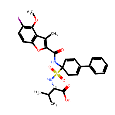 COc1c(I)ccc2oc(C(=O)NC3(S(=O)(=O)N[C@H](C(=O)O)C(C)C)C=CC(c4ccccc4)=CC3)c(C)c12